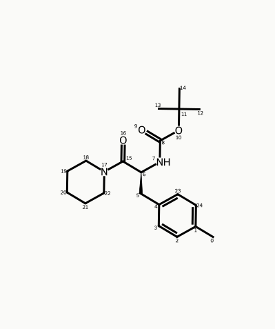 Cc1ccc(C[C@H](NC(=O)OC(C)(C)C)C(=O)N2CCCCC2)cc1